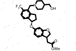 COC(=O)CC1COc2cc(O[C@@H]3CCc4c3ccc(C(F)(F)F)c4CN3CCC(CO)CC3)ccc21